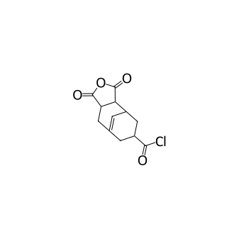 O=C(Cl)C1CC2=CC(C1)C1C(=O)OC(=O)C1C2